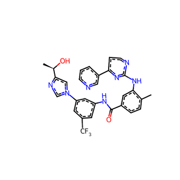 Cc1ccc(C(=O)Nc2cc(-n3cnc([C@@H](C)O)c3)cc(C(F)(F)F)c2)cc1Nc1nccc(-c2cccnc2)n1